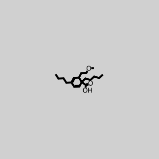 CCCCCC1(C(=O)O)C=CC(CCCC)=CC1CCOC